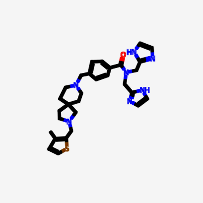 Cc1ccsc1CN1CCC2(CCN(Cc3ccc(C(=O)N(Cc4ncc[nH]4)Cc4ncc[nH]4)cc3)CC2)C1